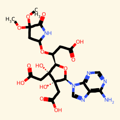 COC1(OC)CC(OC(CC(=O)O)[C@H]2O[C@@H](n3cnc4c(N)ncnc43)[C@@](O)(CC(=O)O)[C@@]2(O)CC(=O)O)NC1=O